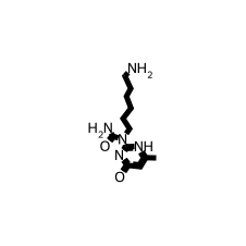 Cc1cc(=O)nc(N(CCCCCCN)C(N)=O)[nH]1